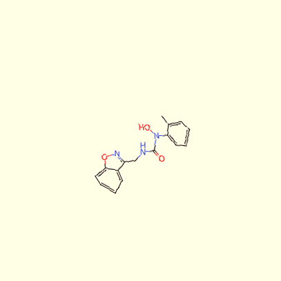 Cc1ccccc1N(O)C(=O)NCc1noc2ccccc12